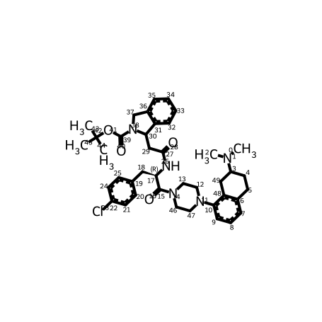 CN(C)C1CCc2cccc(N3CCN(C(=O)[C@@H](Cc4ccc(Cl)cc4)NC(=O)CC4c5ccccc5CN4C(=O)OC(C)(C)C)CC3)c2C1